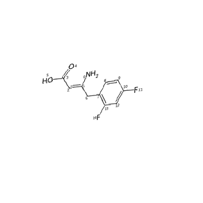 NC(=CC(=O)O)Cc1ccc(F)cc1F